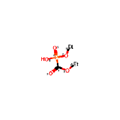 CCOC(=O)P(=O)(O)OCC